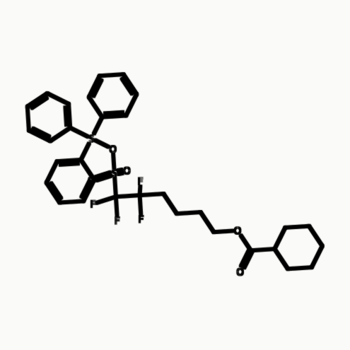 O=C(OCCCCC(F)(F)C(F)(F)S(=O)(=O)OS(c1ccccc1)(c1ccccc1)c1ccccc1)C1CCCCC1